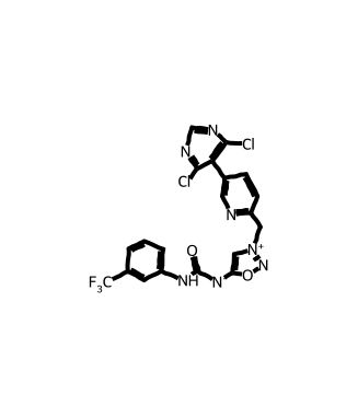 O=C([N-]c1c[n+](Cc2ccc(-c3c(Cl)ncnc3Cl)cn2)no1)Nc1cccc(C(F)(F)F)c1